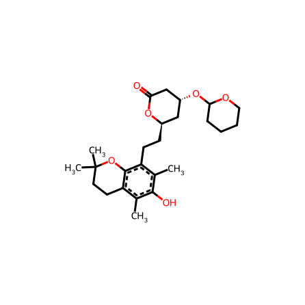 Cc1c(O)c(C)c2c(c1CC[C@@H]1C[C@@H](OC3CCCCO3)CC(=O)O1)OC(C)(C)CC2